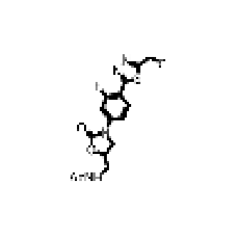 CC(=O)NCC1CN(c2ccc(-c3nnc(CCl)s3)c(F)c2)C(=O)O1